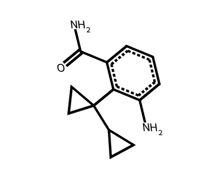 NC(=O)c1cccc(N)c1C1(C2CC2)CC1